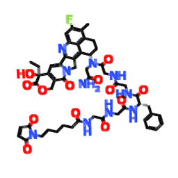 CC[C@@]1(O)C(=O)OCc2c1cc1n(c2=O)Cc2c-1nc1cc(F)c(C)c3c1c2[C@@H](N(CC(N)=O)C(=O)CNC(=O)CNC(=O)[C@H](Cc1ccccc1)NC(=O)CNC(=O)CNC(=O)CCCCCN1C(=O)C=CC1=O)CC3